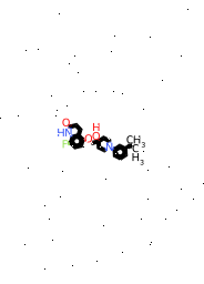 CC(C)c1cccc(N2CCC(O)(COc3ccc(F)c4c3CCC(=O)N4)CC2)c1